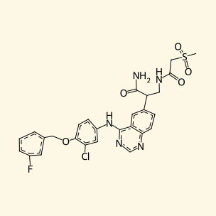 CS(=O)(=O)CC(=O)NCC(C(N)=O)c1ccc2ncnc(Nc3ccc(OCc4cccc(F)c4)c(Cl)c3)c2c1